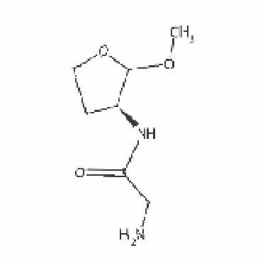 COC1OCC[C@@H]1NC(=O)CN